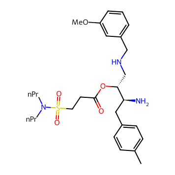 CCCN(CCC)S(=O)(=O)CCC(=O)O[C@H](CNCc1cccc(OC)c1)[C@@H](N)Cc1ccc(C)cc1